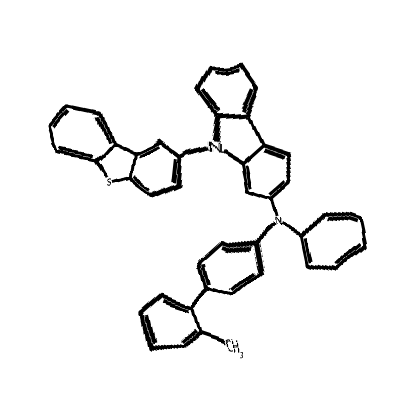 Cc1ccccc1-c1ccc(N(c2ccccc2)c2ccc3c4ccccc4n(-c4ccc5sc6ccccc6c5c4)c3c2)cc1